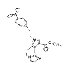 COC(=O)c1cn(CCc2ccc([N+](=O)[O-])cc2)c2c1-c1nccn1CC2